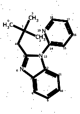 CC(C)(C)Cc1nc2ccccc2n1-c1ccccn1